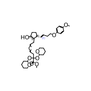 COC(=O)C(CC=C=CC[C@H]1[C@@H](O)CC[C@@H]1/C=C/CCOc1ccc(OC)cc1)(OC1CCCCO1)OC1CCCCO1